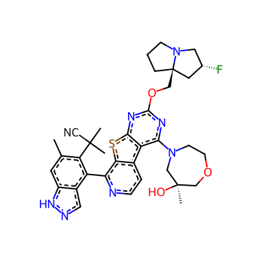 Cc1cc2[nH]ncc2c(-c2nccc3c2sc2nc(OC[C@@]45CCCN4C[C@H](F)C5)nc(N4CCOC[C@@](C)(O)C4)c23)c1C(C)(C)C#N